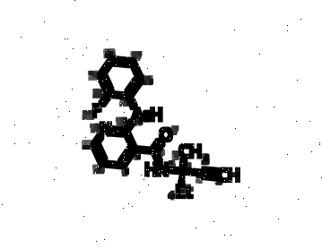 C#C[C@](C)(CC)NC(=O)c1cccnc1[AsH]c1ccccc1F